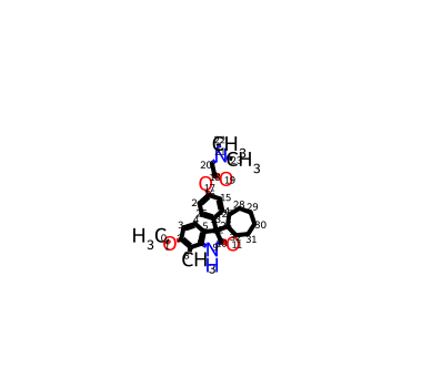 COc1ccc2c(c1C)NC(=O)C2(c1ccc(OC(=O)CN(C)C)cc1)C1CCCCCC1